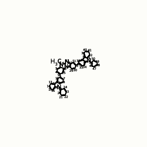 Cn1c2ccc(-c3ccc4c(c3)c3ccccc3n4-c3ccccc3)cc2n2c3ccc(-c4ccc5c(c4)c4ccccc4n5-c4ccccc4)cc3nc12